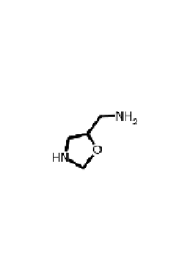 NCC1CNCO1